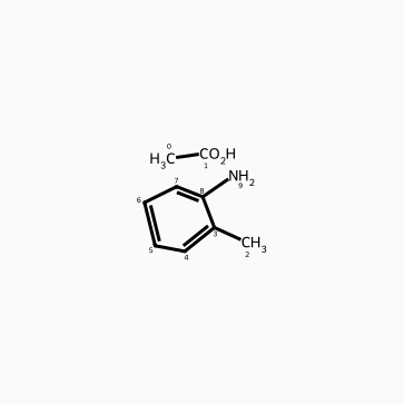 CC(=O)O.Cc1ccccc1N